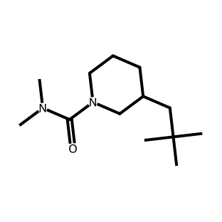 CN(C)C(=O)N1CCCC(CC(C)(C)C)C1